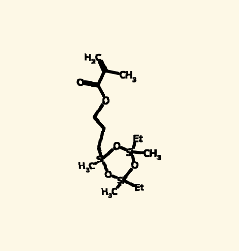 C=C(C)C(=O)OCCC[Si]1(C)O[Si](C)(CC)O[Si](C)(CC)O1